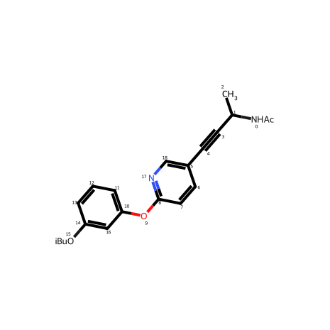 CC(=O)NC(C)C#Cc1ccc(Oc2cccc(OCC(C)C)c2)nc1